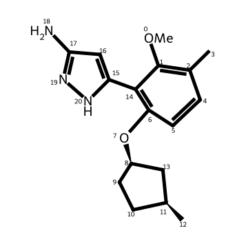 COc1c(C)ccc(O[C@@H]2CC[C@H](C)C2)c1-c1cc(N)n[nH]1